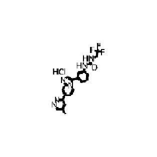 Cc1cnnc(-c2ccn3c(-c4cccc(NC(=O)NCC(F)(F)F)c4)cnc3c2)c1.Cl